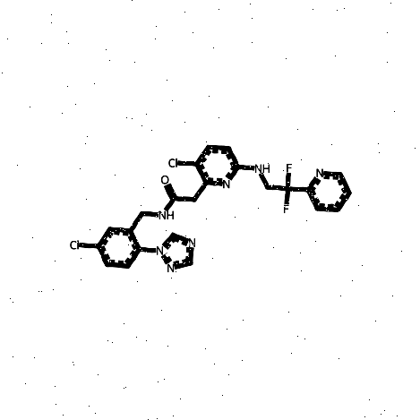 O=C(Cc1nc(NCC(F)(F)c2ccccn2)ccc1Cl)NCc1cc(Cl)ccc1-n1cncn1